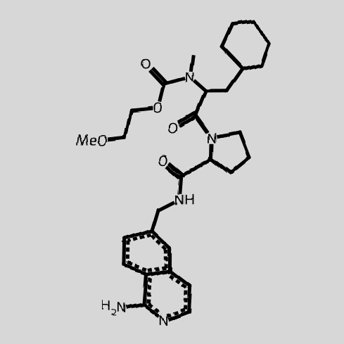 COCCOC(=O)N(C)C(CC1CCCCC1)C(=O)N1CCCC1C(=O)NCc1ccc2c(N)nccc2c1